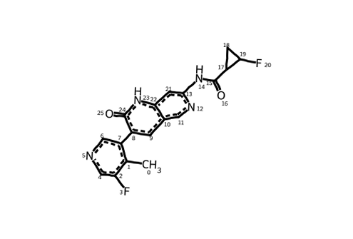 Cc1c(F)cncc1-c1cc2cnc(NC(=O)C3CC3F)cc2[nH]c1=O